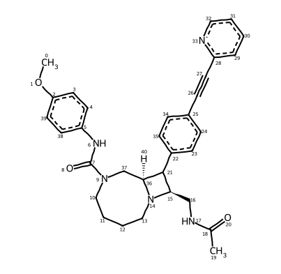 COc1ccc(NC(=O)N2CCCCN3[C@H](CNC(C)=O)C(c4ccc(C#Cc5ccccn5)cc4)[C@@H]3C2)cc1